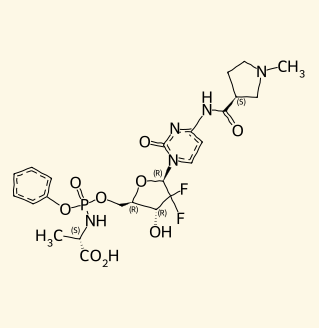 C[C@H](NP(=O)(OC[C@H]1O[C@@H](n2ccc(NC(=O)[C@H]3CCN(C)C3)nc2=O)C(F)(F)[C@@H]1O)Oc1ccccc1)C(=O)O